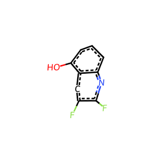 Oc1cccc2nc(F)c(F)cc12